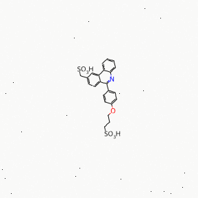 O=S(=O)(O)CCCOc1ccc(-c2nc3ccccc3c3cc(CS(=O)(=O)O)ccc23)cc1